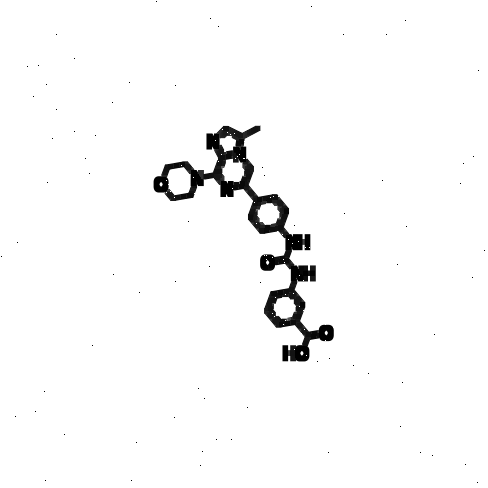 Cc1cnc2c(N3CCOCC3)nc(-c3ccc(NC(=O)Nc4cccc(C(=O)O)c4)cc3)cn12